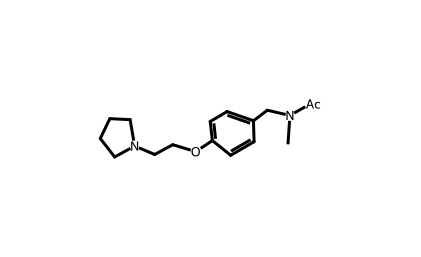 CC(=O)N(C)Cc1ccc(OCCN2CCCC2)cc1